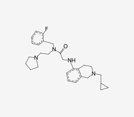 O=C(CNc1cccc2c1CCN(CC1CC1)C2)N(CCN1CCCC1)Cc1ccccc1F